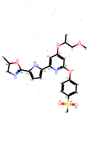 COCC(C)Oc1cc(Oc2ccc(S(C)(=O)=O)cc2)nc(-c2ccc(C3=NCC(C)O3)[nH]2)c1